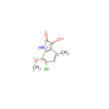 COc1c(Br)cc(C)c2c1NC(=O)C2=O